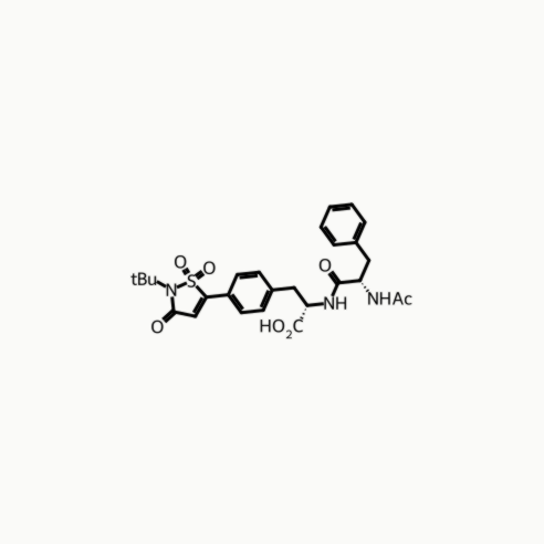 CC(=O)N[C@@H](Cc1ccccc1)C(=O)N[C@@H](Cc1ccc(C2=CC(=O)N(C(C)(C)C)S2(=O)=O)cc1)C(=O)O